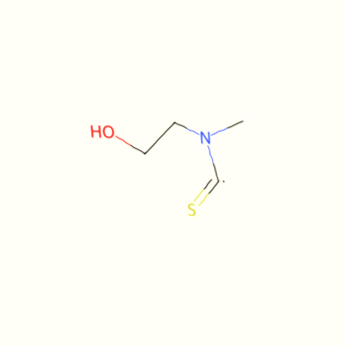 CN([C]=S)CCO